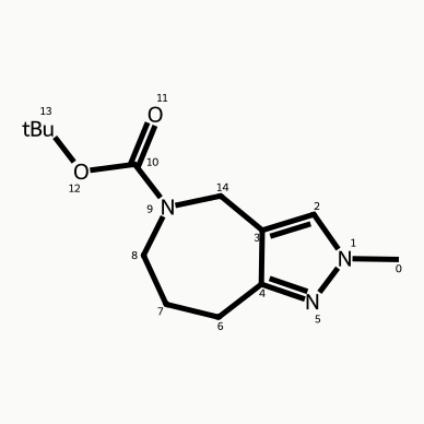 Cn1cc2c(n1)CCCN(C(=O)OC(C)(C)C)C2